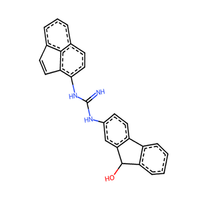 N=C(Nc1ccc2c(c1)C(O)c1ccccc1-2)Nc1ccc2cccc3c2c1C=C3